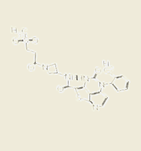 Cc1ccccc1N1C(=O)Nc2c(C(=O)NC3CN(C(=O)CCS(C)(=O)=O)C3)sc3nccc1c23